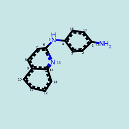 Nc1ccc(Nc2ccc3ccccc3n2)cc1